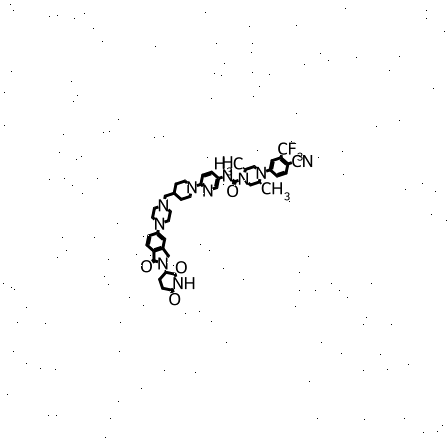 C[C@@H]1CN(c2ccc(C#N)c(C(F)(F)F)c2)[C@@H](C)CN1C(=O)Nc1ccc(N2CCC(CN3CCN(c4ccc5c(c4)CN([C@H]4CCC(=O)NC4=O)C5=O)CC3)CC2)nc1